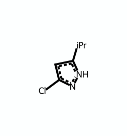 CC(C)c1cc(Cl)n[nH]1